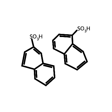 O=S(=O)(O)c1ccc2ccccc2c1.O=S(=O)(O)c1cccc2ccccc12